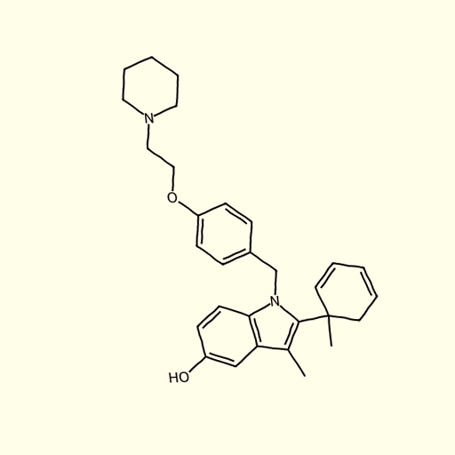 Cc1c(C2(C)C=CC=CC2)n(Cc2ccc(OCCN3CCCCC3)cc2)c2ccc(O)cc12